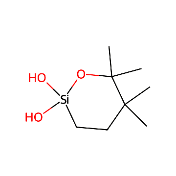 CC1(C)CC[Si](O)(O)OC1(C)C